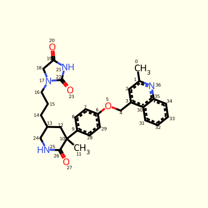 Cc1cc(COc2ccc(C3(C)CC(CCCN4CC(=O)NC4=O)CNC3=O)cc2)c2ccccc2n1